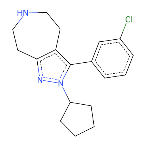 Clc1cccc(-c2c3c(nn2C2CCCC2)CCNCC3)c1